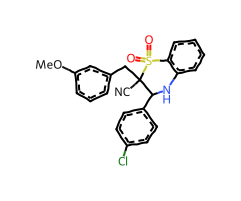 COc1cccc(CC2(C#N)C(c3ccc(Cl)cc3)Nc3ccccc3S2(=O)=O)c1